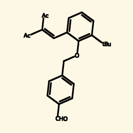 CC(=O)C(=Cc1cccc(C(C)(C)C)c1OCc1ccc(C=O)cc1)C(C)=O